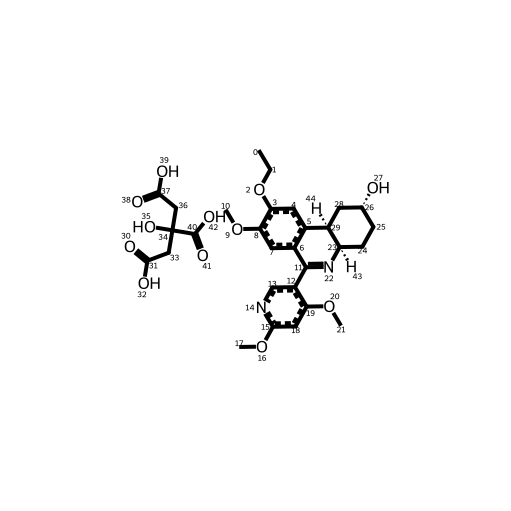 CCOc1cc2c(cc1OC)C(c1cnc(OC)cc1OC)=N[C@@H]1CC[C@@H](O)C[C@H]21.O=C(O)CC(O)(CC(=O)O)C(=O)O